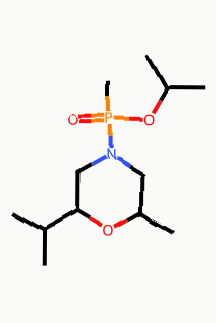 CC(C)OP(C)(=O)N1CC(C)OC(C(C)C)C1